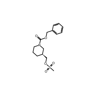 CS(=O)(=O)OC[C@H]1CCCN(C(=O)OCc2ccccc2)C1